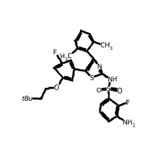 Cc1cccc(C)c1-c1nc(NS(=O)(=O)c2cccc(N)c2F)sc1-c1cc(F)cc(OCCC(C)(C)C)c1